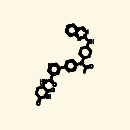 CC(=O)N(c1ccc(-c2cncc(C(=O)N[C@H]3CCC(=O)NC3=O)c2)cc1)C1CCC(Nc2ncc3ccccc3n2)CC1